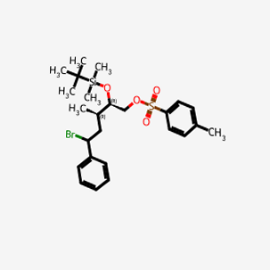 Cc1ccc(S(=O)(=O)OC[C@H](O[Si](C)(C)C(C)(C)C)[C@H](C)CC(Br)c2ccccc2)cc1